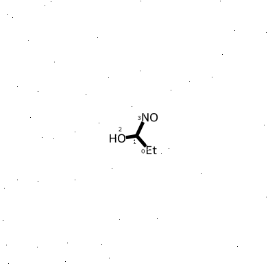 CCC(O)N=O